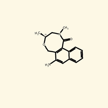 C[C@H]1CN(C)C(=O)c2c(c(N)cc3ccccc23)CO1